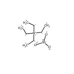 CC[N+](CC)(CC)CC.[Cl][Sn-]([Cl])[Cl]